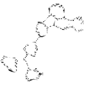 c1ccc(N(c2ccc(-c3ccc4c(c3)-c3cc5ccccc5c5cccc-4c35)cc2)c2cccnc2)cc1